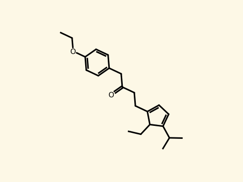 CCOc1ccc(CC(=O)CCC2=CC=C(C(C)C)C2CC)cc1